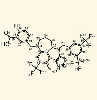 Cc1cc2c(cc1C(F)(F)F)N(Cc1ccc(F)c(C(=O)O)c1)CCCC2N(Cc1cc(C(F)(F)F)cc(C(F)(F)F)c1)c1nnn(C)n1